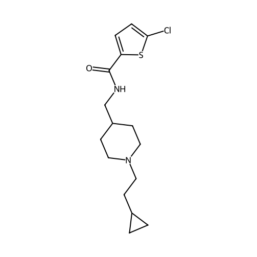 O=C(NCC1CCN(CCC2CC2)CC1)c1ccc(Cl)s1